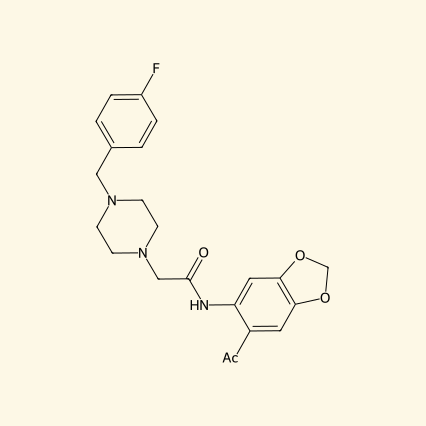 CC(=O)c1cc2c(cc1NC(=O)CN1CCN(Cc3ccc(F)cc3)CC1)OCO2